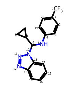 FC(F)(F)c1ccc(NC(C2CC2)n2nnc3ccccc32)cc1